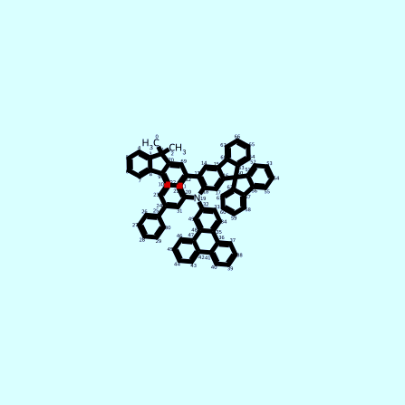 CC1(C)c2ccccc2-c2ccc(-c3cc4c(cc3N(c3cccc(-c5ccccc5)c3)c3ccc5c6ccccc6c6ccccc6c5c3)C3(c5ccccc5-c5ccccc53)c3ccccc3-4)cc21